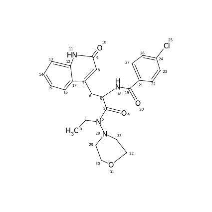 CCN(C(=O)C(Cc1cc(=O)[nH]c2ccccc12)NC(=O)c1ccc(Cl)cc1)N1CCOCC1